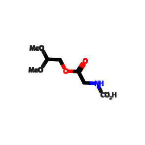 COC(COC(=O)CNC(=O)O)OC